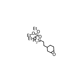 CCO[Si](OCC)(OCC)O[SiH2]CCC1CCC2OC2C1